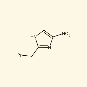 CC(C)[CH]c1nc([N+](=O)[O-])c[nH]1